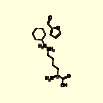 NC1CCCCC1.NCCCC[C@H](N)C(=O)O.O=Cc1ccco1